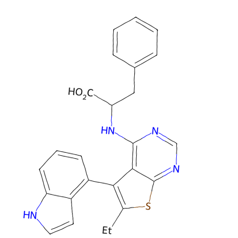 CCc1sc2ncnc(NC(Cc3ccccc3)C(=O)O)c2c1-c1cccc2[nH]ccc12